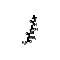 CC(C)(C)OC(=O)NCC(O)CNC(=O)[C@@H](N)CC(N)=O